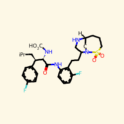 CC(C)C[C@H](c1ccc(F)cc1)[C@H](NC(=O)O)C(=O)Nc1cccc(F)c1CCC1CN[C@@H]2CCCS(=O)(=O)N1C2